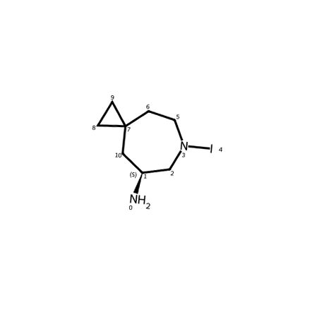 N[C@@H]1CN(I)CCC2(CC2)C1